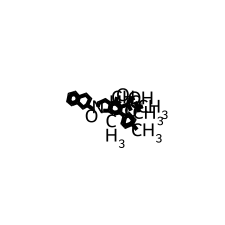 Cc1ccc(-c2c(C)c3c(c(C)c2C(OC(C)(C)C)C(=O)O)CCN(C(=O)C2CCc4ccccc4C2)C3)cc1